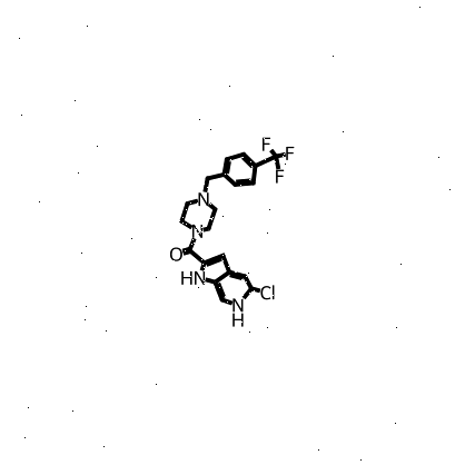 O=C(c1cc2c([nH]1)=CNC(Cl)C=2)N1CCN(Cc2ccc(C(F)(F)F)cc2)CC1